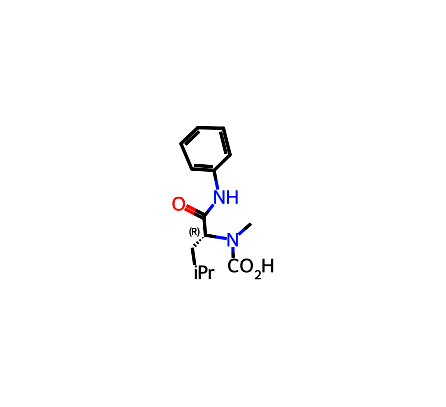 CC(C)C[C@H](C(=O)Nc1ccccc1)N(C)C(=O)O